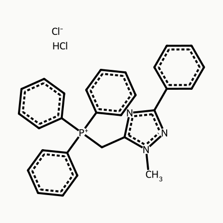 Cl.Cn1nc(-c2ccccc2)nc1C[P+](c1ccccc1)(c1ccccc1)c1ccccc1.[Cl-]